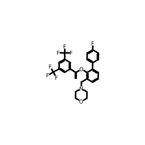 C=C(Oc1c(CN2CCOCC2)cccc1-c1ccc(F)cc1)c1cc(C(F)(F)F)cc(C(F)(F)F)c1